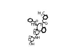 Cc1cccc(CC(=O)N2CC(NC(=O)c3ccccc3)C(=O)N(CC(=O)N[C@H](C=O)CC(=O)O)c3ccccc32)c1